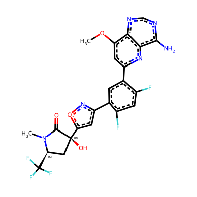 COc1cc(-c2cc(-c3cc([C@]4(O)C[C@@H](C(F)(F)F)N(C)C4=O)on3)c(F)cc2F)nc2c(N)ncnc12